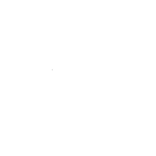 Br/C=C1\CCOC1